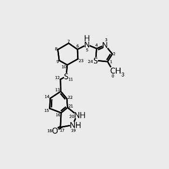 Cc1cnc(NC2CCCC(SCc3ccc4c(=O)[nH][nH]c4c3)C2)s1